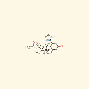 CC(=O)[C@H]1CC[C@H]2[C@@H]3CCC4=CC(=O)CC(c5ncc[nH]5)[C@]4(C)[C@H]3CC[C@]12C